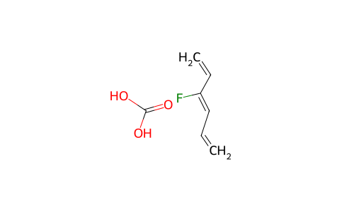 C=CC=C(F)C=C.O=C(O)O